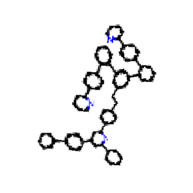 c1ccc(-c2ccc(-c3cc(-c4ccccc4)nc(-c4ccc(CCc5cc(-c6ccccc6-c6ccc(-c7ccccn7)cc6)cc(-c6ccccc6-c6ccc(-c7ccccn7)cc6)c5)cc4)c3)cc2)cc1